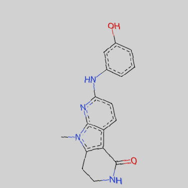 Cn1c2c(c3ccc(Nc4cccc(O)c4)nc31)C(=O)NCC2